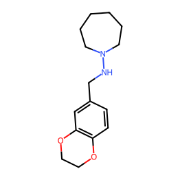 c1cc2c(cc1CNN1CCCCCC1)OCCO2